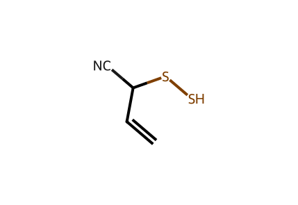 C=CC(C#N)SS